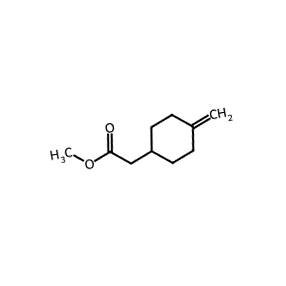 C=C1CCC(CC(=O)OC)CC1